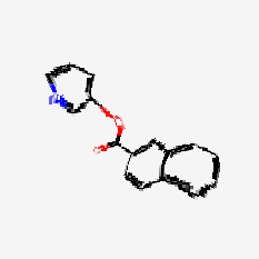 O=C(Oc1cc[c]nc1)c1ccc2ccccc2c1